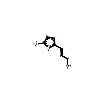 OC/C=C/c1ccc(C(F)(F)F)o1